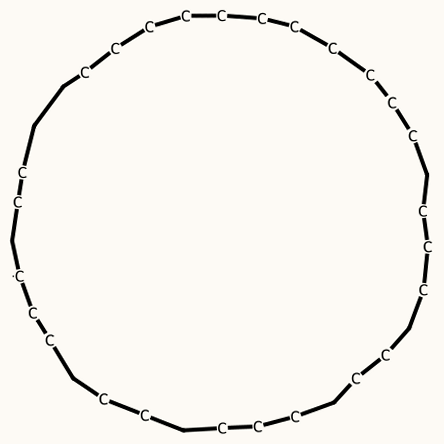 [CH]1CCCCCCCCCCCCCCCCCCCCCCCCCCCCCCCCC1